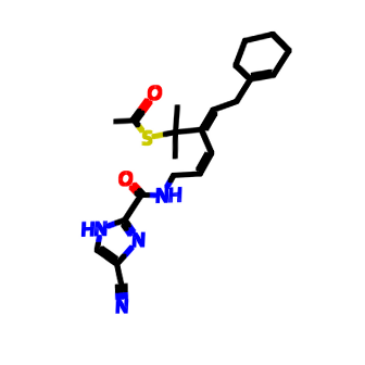 CC(=O)SC(C)(C)C(/C=C\CNC(=O)c1nc(C#N)c[nH]1)=C/CC1=CCCCC1